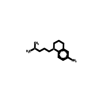 CN(C)CCCN1CCCc2cc(N)ccc21